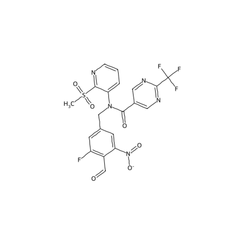 CS(=O)(=O)c1ncccc1N(Cc1cc(F)c(C=O)c([N+](=O)[O-])c1)C(=O)c1cnc(C(F)(F)F)nc1